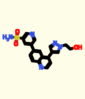 NS(=O)(=O)c1cncc(-c2ccc3nccc(-c4cnn(CCO)c4)c3c2)c1